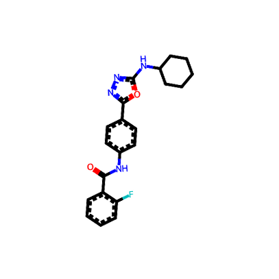 O=C(Nc1ccc(-c2nnc(NC3CCCCC3)o2)cc1)c1ccccc1F